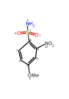 COc1ccc(S(N)(=O)=O)c([N+](=O)[O-])c1